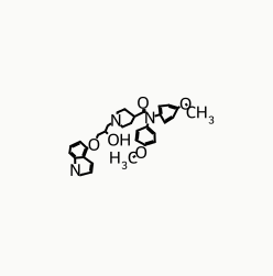 COc1ccc(N(C(=O)C2CCN(CC(O)COc3cccc4ncccc34)CC2)c2ccc(OC)cc2)cc1